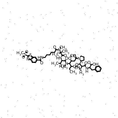 CCC(C)C(C(CC(=O)N1CCC[C@H]1C(OC)C(C)C(=O)NC(Cc1ccccc1)C(=O)O)OC)N(C)C(=O)C(NC(=O)C(C)(C)N(C)C(=O)CCCCCNC(=O)c1ccc2nc(S(C)(=O)=O)sc2c1)C(C)C